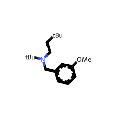 COc1cccc(CN(CCC(C)(C)C)C(C)(C)C)c1